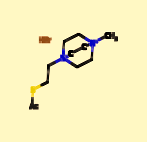 Br.CC(=O)SCC[N+]12CC[N+](C)(CC1)CC2